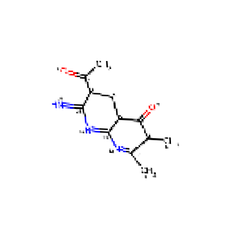 CC(=O)C1CC2C(=O)C(C)C(C)=NC2=NC1=N